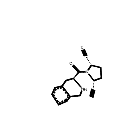 C#C[C@H]1CC[C@@H](C#N)N1C(=O)[C@@H]1Cc2ccccc2CN1